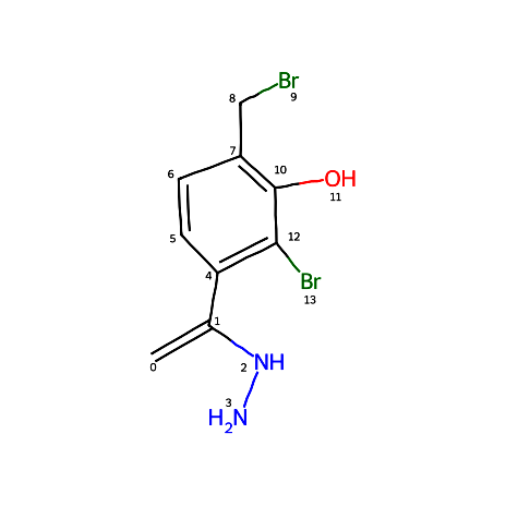 C=C(NN)c1ccc(CBr)c(O)c1Br